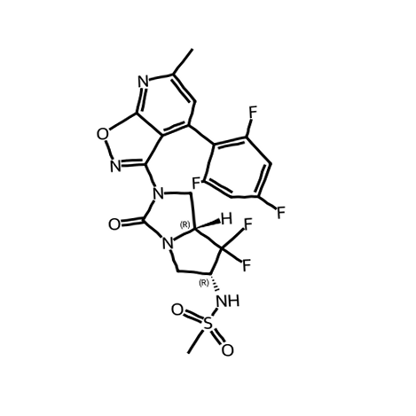 Cc1cc(-c2c(F)cc(F)cc2F)c2c(N3C[C@H]4N(C[C@@H](NS(C)(=O)=O)C4(F)F)C3=O)noc2n1